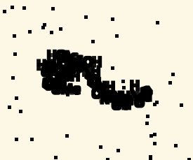 COc1cccc2c1C(=O)c1c(O)c3c(c(O)c1C2=O)C[C@](O)(C(C)=O)C[C@H]3OC1CC(NCc2ccc(NC(=O)c3cc(NC(=O)c4cc(NC(=O)c5cccn5C)cn4C)cn3C)cc2)C(O)C(C)O1